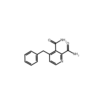 NC(=O)c1nccc(Cc2ccccc2)c1C(N)=O